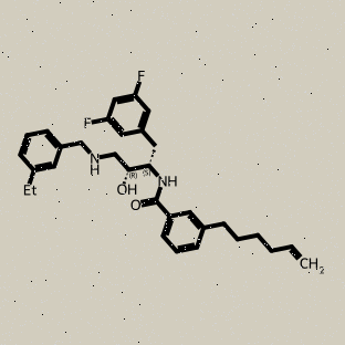 C=CCCCCc1cccc(C(=O)N[C@@H](Cc2cc(F)cc(F)c2)[C@H](O)CNCc2cccc(CC)c2)c1